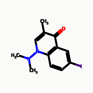 Cc1cn(N(C)C)c2ccc(I)cc2c1=O